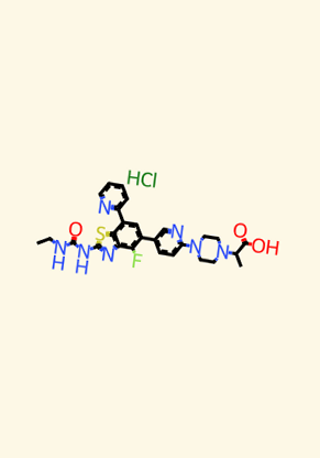 CCNC(=O)Nc1nc2c(F)c(-c3ccc(N4CCN(C(C)C(=O)O)CC4)nc3)cc(-c3ccccn3)c2s1.Cl